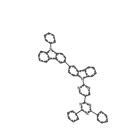 c1ccc(-c2nc(-c3ccccc3)nc(-c3cnc(-n4c5ccccc5c5cc(-c6ccc7c(c6)c6ccccc6n7-c6ccccc6)ccc54)nc3)n2)cc1